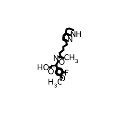 COc1ccc([C@@H](CC(=O)O)c2nc(CCCCc3ccc4c(n3)NCCC4)c(C)o2)cc1F